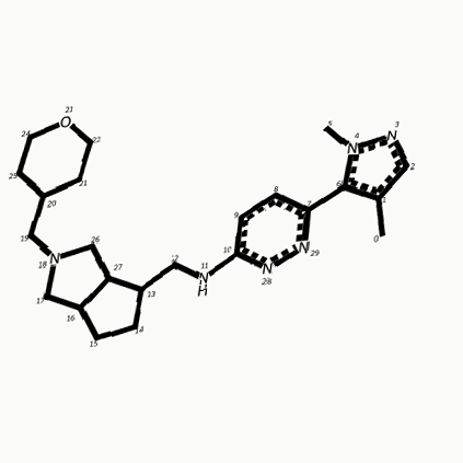 Cc1cnn(C)c1-c1ccc(NCC2CCC3CN(CC4CCOCC4)CC23)nn1